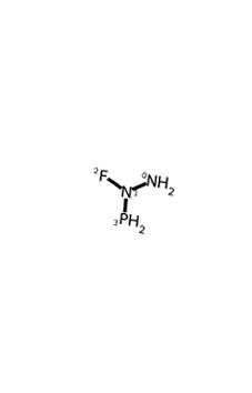 NN(F)P